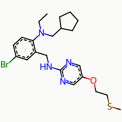 CCN(CC1CCCC1)c1ccc(Br)cc1CNc1ncc(OCCSC)cn1